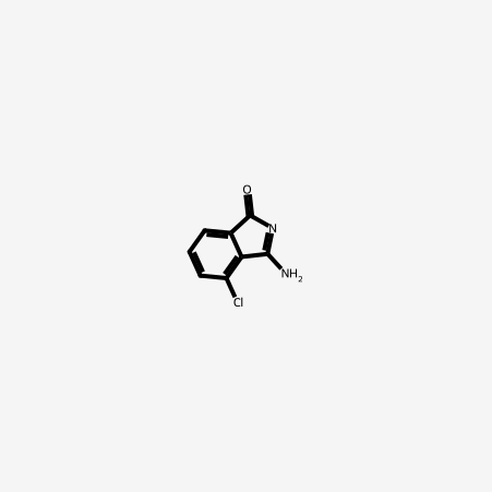 NC1=NC(=O)c2cccc(Cl)c21